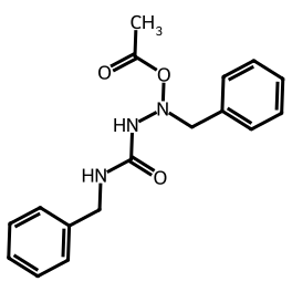 CC(=O)ON(Cc1ccccc1)NC(=O)NCc1ccccc1